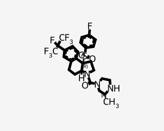 C[C@@H]1CN(C(=O)N2CC[C@@]3(S(=O)(=O)c4ccc(F)cc4)c4ccc(C(F)(C(F)(F)F)C(F)(F)F)cc4CC[C@@H]23)CCN1